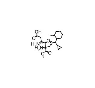 COC(=O)[C@@](N)(CSC(C1CC1)C1CCCCC1C)C(=O)[C@@H](N)CC(=O)O